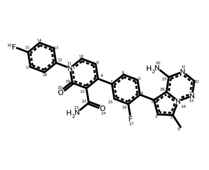 Cc1cc(-c2ccc(-c3ccn(-c4ccc(F)cc4)c(=O)c3C(N)=O)cc2F)c2c(N)ncnn12